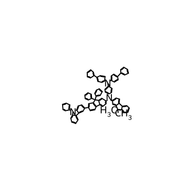 CC1(C)c2ccccc2-c2ccc(N(c3ccc(N(c4ccc(-c5ccccc5)cc4)c4ccc(-c5ccccc5)cc4)cc3)c3ccc4c(c3)C(c3ccccc3)(c3ccccc3)c3cc(-c5ccc6c(c5)c5ccccc5n6-c5ccccc5)ccc3-4)cc21